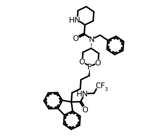 O=C(C1CCCCN1)N(Cc1ccccc1)[C@H]1CO[P@](CCCCC2(C(=O)NCC(F)(F)F)c3ccccc3-c3ccccc32)OC1